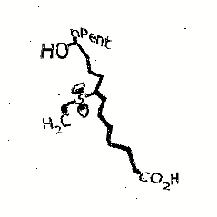 C=CS(=O)(=O)C(CCCCCCC(=O)O)CCCC(O)CCCCC